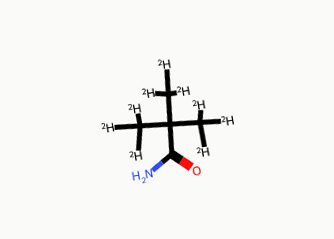 [2H]C([2H])([2H])C(C(N)=O)(C([2H])([2H])[2H])C([2H])([2H])[2H]